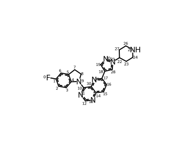 Fc1ccc2c(c1)CCN2c1ncnc2ccc(-c3cnn(C4CCNCC4)c3)nc12